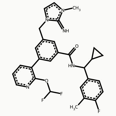 Cc1cc(C(NC(=O)c2cc(Cn3ccn(C)c3=N)cc(-c3cccnc3OC(F)F)c2)C2CC2)ccc1F